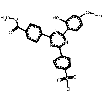 COC(=O)c1ccc(-c2nc(-c3ccc(S(C)(=O)=O)cc3)nc(-c3ccc(OC)cc3O)n2)cc1